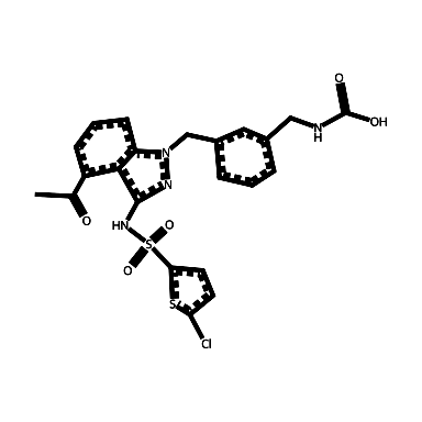 CC(=O)c1cccc2c1c(NS(=O)(=O)c1ccc(Cl)s1)nn2Cc1cccc(CNC(=O)O)c1